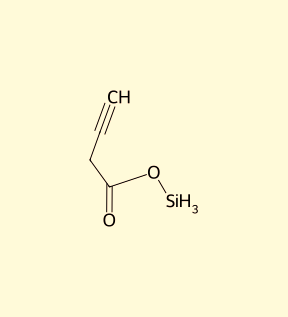 C#CCC(=O)O[SiH3]